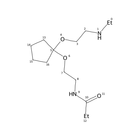 CCNCCOC1(OCCNC(=O)CC)CCCC1